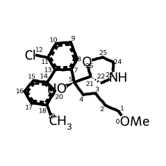 COCCCC[C@](O)(c1cccc(Cl)c1-c1cccc(C)c1)[C@H]1CNCCO1